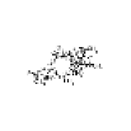 CCCN1C[C@H](C)CC(C)(C)[C@@](OC)(O[C@@H]2O[C@H](C)C[C@H](N(C)C)[C@H]2O)[C@@H](C)C(=O)C(C)(C)C(=O)OC[C@H]1[C@H]1C[C@H](N(C)CC)C1